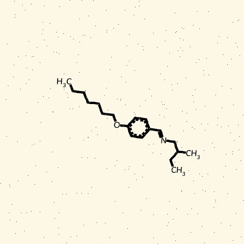 CCCCCCCOc1ccc(C=N[CH]C(C)CC)cc1